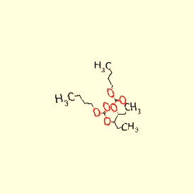 CCCCOC(=O)OC(CC)C(CC)OC(=O)OCCCC